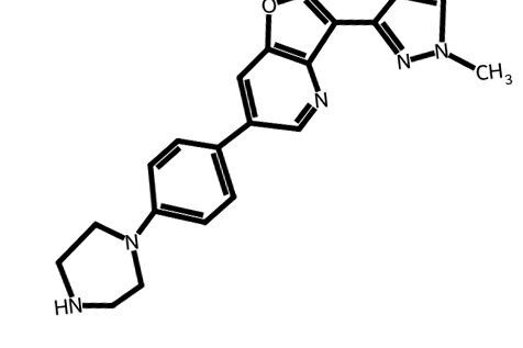 Cn1ccc(-c2coc3cc(-c4ccc(N5CCNCC5)cc4)cnc23)n1